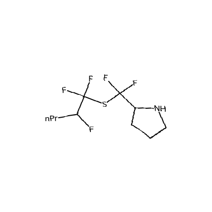 CCCC(F)C(F)(F)SC(F)(F)C1CCCN1